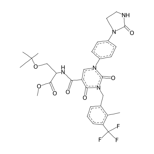 COC(=O)C(COC(C)(C)C)NC(=O)c1cn(-c2ccc(N3CCNC3=O)cc2)c(=O)n(Cc2cccc(C(F)(F)F)c2C)c1=O